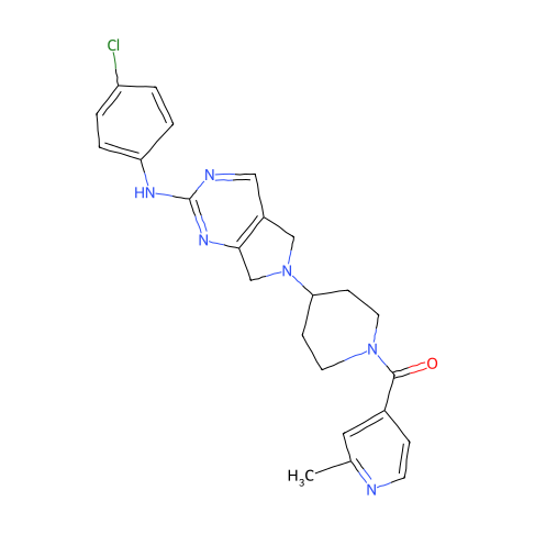 Cc1cc(C(=O)N2CCC(N3Cc4cnc(Nc5ccc(Cl)cc5)nc4C3)CC2)ccn1